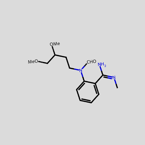 C/N=C(/N)c1ccccc1N(C=O)CCC(COC)OC